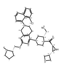 CN1CCC[C@H]1COc1nc2c(c(N3CCN(C(=O)[C@H]4N[C@@H]4C4COC4)[C@@H](CC#N)C3)n1)CCN(c1cccc3cccc(Cl)c13)C2